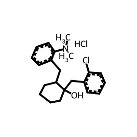 CN(C)c1ccccc1CC1CCCCC1(O)Cc1ccccc1Cl.Cl